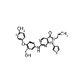 C=CCn1c(=O)c2cnc(Nc3ccc(Oc4ccc(C)nc4)c(CO)c3)nc2n1-c1ccsc1